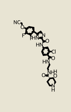 N#CCOc1ccc(-c2cnc(C(=O)Nc3ccc(C(=O)NCCNC(=O)[C@H]4CCNC[C@@H]4O)c(Cl)c3)[nH]2)c(F)c1F